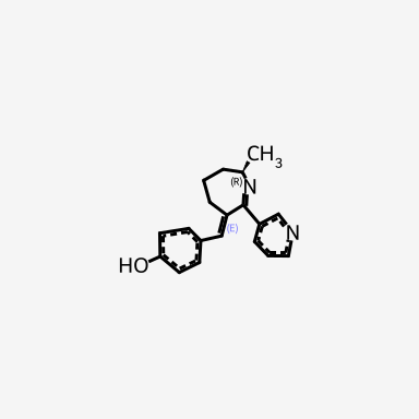 C[C@@H]1CCC/C(=C\c2ccc(O)cc2)C(c2cccnc2)=N1